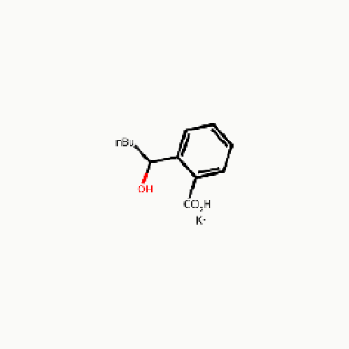 CCCCC(O)c1ccccc1C(=O)O.[K]